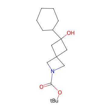 CC(C)(C)OC(=O)N1CC2(C1)CC(O)(C1CCCCC1)C2